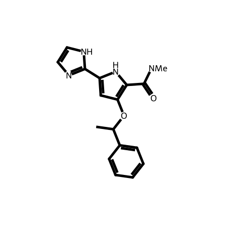 CNC(=O)c1[nH]c(-c2ncc[nH]2)cc1OC(C)c1ccccc1